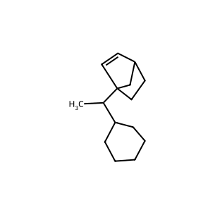 CC([C]1CCCCC1)C12C=CC(CC1)C2